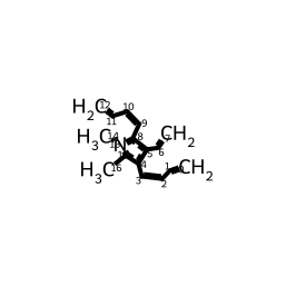 C=C/C=C\c1c(C=C)c(/C=C\C=C)n(C)c1C